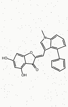 Cn1cc(C=C2Oc3cc(O)cc(O)c3C2=O)c2c(-c3ccccc3)cccc21